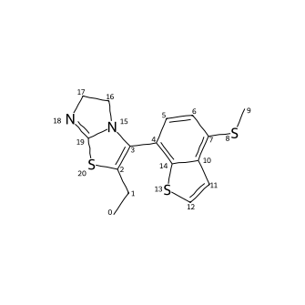 CCC1=C(c2ccc(SC)c3ccsc23)N2CCN=C2S1